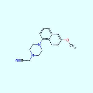 COc1ccc2c(N3CCN(CC#N)CC3)cccc2c1